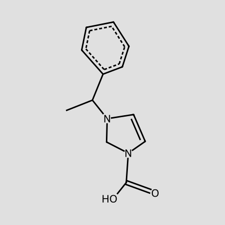 CC(c1ccccc1)N1C=CN(C(=O)O)C1